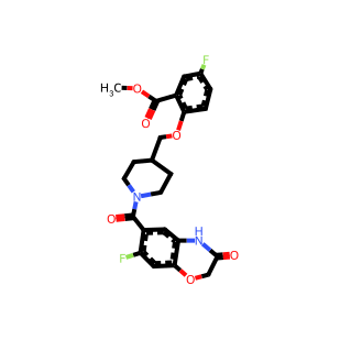 COC(=O)c1cc(F)ccc1OCC1CCN(C(=O)c2cc3c(cc2F)OCC(=O)N3)CC1